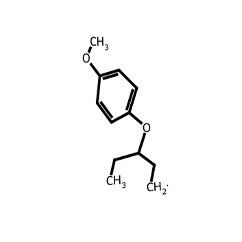 [CH2]CC(CC)Oc1ccc(OC)cc1